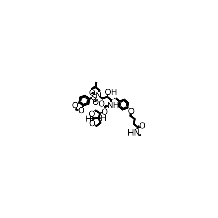 CNC(=O)CCCOc1ccc(C[C@H](NC(=O)O[C@@H]2CO[C@H]3OCC[C@H]32)[C@H](O)CN(CC(C)C)S(=O)(=O)c2ccc3c(c2)OCO3)cc1